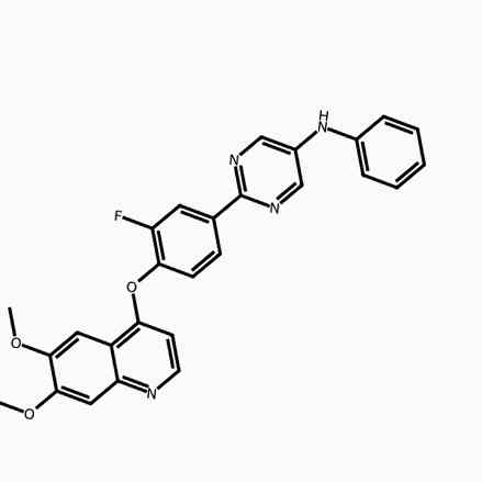 COc1cc2nccc(Oc3ccc(-c4ncc(Nc5ccccc5)cn4)cc3F)c2cc1OC